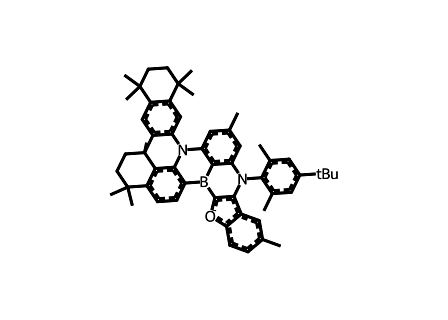 Cc1cc2c3c(c1)N(c1c(C)cc(C(C)(C)C)cc1C)c1c(oc4ccc(C)cc14)B3c1ccc3c4c1N2c1cc2c(cc1C4(C)CCC3(C)C)C(C)(C)CCC2(C)C